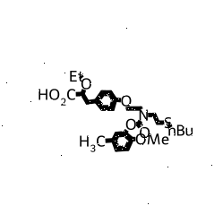 CCCCSCCN(CCOc1ccc(CC(OCC)C(=O)O)cc1)C(=O)Oc1cc(C)ccc1OC